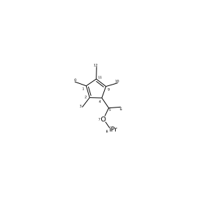 CC1=C(C)C(C(C)OC(C)C)C(C)=C1C